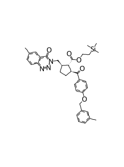 Cc1cccc(COc2ccc(C(=O)[C@H]3CC[C@@H](Cn4nnc5ccc(C)cc5c4=O)[C@@H]3C(=O)OCC[Si](C)(C)C)cc2)c1